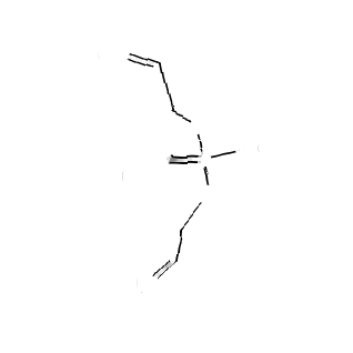 C=CCOP(=O)(O)OCC=C.[CaH2]